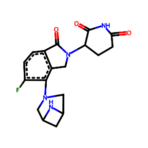 O=C1CCC(N2Cc3c(ccc(F)c3N3CC4CC(C3)N4)C2=O)C(=O)N1